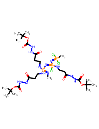 CN=P(N=P(Cl)(N=P(C)(Cl)Cl)NCCC(=O)NNC(=O)OC(C)(C)C)(NCCC(=O)NNC(=O)OC(C)(C)C)NCCC(=O)NNC(=O)OC(C)(C)C